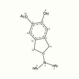 CCCN(CCC)C1Cc2cc(O)c(OC(C)=O)cc2C1